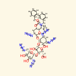 C[C@H]([C@@H]1CC[C@@H](N=[N+]=[N-])[C@@H](O[C@H]2[C@H](O[C@@H]3O[C@H](CO)[C@@H](O[C@H]4O[C@@H](CN=[N+]=[N-])[C@@H](O)[C@H](O)[C@H]4N=[N+]=[N-])[C@H]3O)[C@@H](O)[C@H](N=[N+]=[N-])C[C@@H]2N=[N+]=[N-])O1)N(Cc1ccccc1)C(=O)OCc1ccccc1